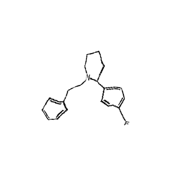 Fc1ccc(C2CCCCN2CCc2ccccc2)cc1